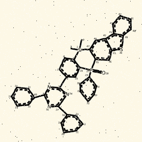 C[Si]1(C)c2ccc(-c3nc(-c4ccccc4)nc(-c4ccccc4)n3)cc2P(=O)(c2ccccc2)c2cc3sc4ccccc4c3cc21